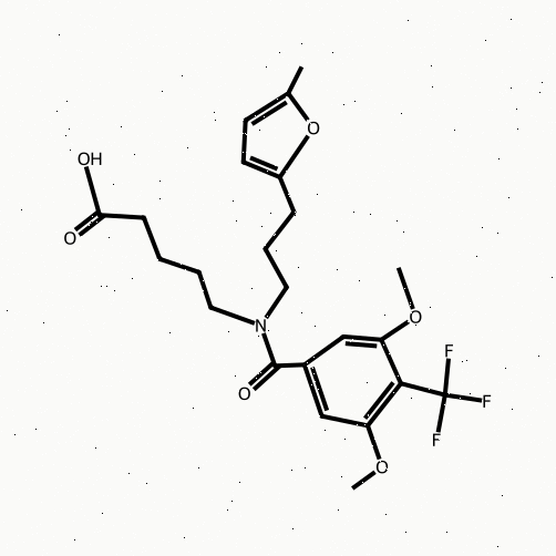 COc1cc(C(=O)N(CCCCC(=O)O)CCCc2ccc(C)o2)cc(OC)c1C(F)(F)F